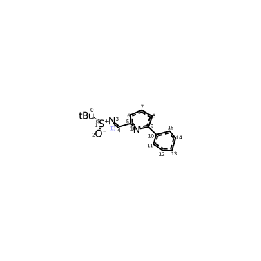 CC(C)(C)[S@@+]([O-])/N=C/c1cccc(-c2ccccc2)n1